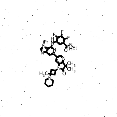 CCNC(=O)c1cc(Nc2nc(-c3cnc4c(c3)N(C3CC(C)(N5CCCCC5)C3)C(=O)C4(C)C)cc3ncn(C(C)C)c23)c(F)c(F)c1F